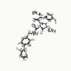 Cc1cnn([C@H](C(=O)N2C[C@H](O)C[C@H]2C(=O)NCc2ccc(-c3scnc3C)cc2)C(C)(C)C)c1